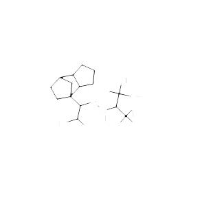 CC(O)C(O[SiH2]C(C(C)(C)C)C(C)(C)C)C12CCC(C1)C1CCCC12